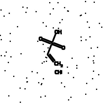 C=CS(=O)(=O)O.[CH]